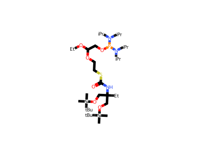 CCOC(COP(N(C(C)C)C(C)C)N(C(C)C)C(C)C)OCCSC(=O)NC(CC)(CO[Si](C)(C)C(C)(C)C)CO[Si](C)(C)C(C)(C)C